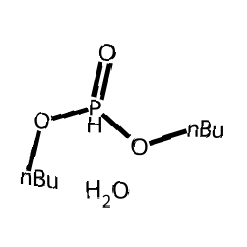 CCCCO[PH](=O)OCCCC.O